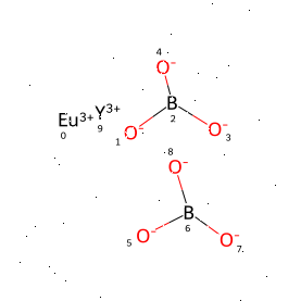 [Eu+3].[O-]B([O-])[O-].[O-]B([O-])[O-].[Y+3]